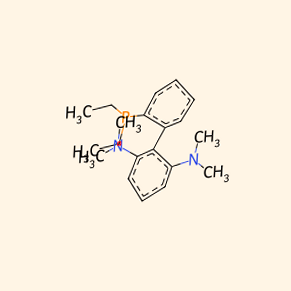 CCP(CC)c1ccccc1-c1c(N(C)C)cccc1N(C)C